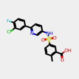 Cc1ccc(S(=O)(=O)Nc2ccc(-c3ccc(F)c(Cl)c3)nc2)cc1C(=O)O